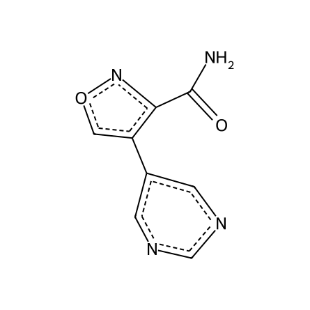 NC(=O)c1nocc1-c1cncnc1